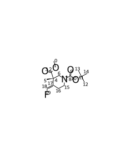 COC(=O)[C@]1(C)CN(C(=O)OC(C)(C)C)CC/C1=C\F